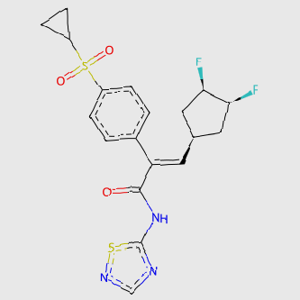 O=C(Nc1ncns1)/C(=C/[C@H]1C[C@@H](F)[C@@H](F)C1)c1ccc(S(=O)(=O)C2CC2)cc1